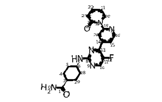 NC(=O)[C@H]1CC[C@H](Nc2ncc(F)c(-c3ccnc(-n4ccccc4=O)c3)n2)CC1